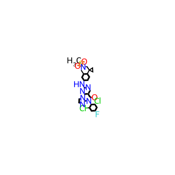 CS(=O)(=O)N1Cc2cc(Nc3ncc4c(=O)n(-c5c(Cl)cc(F)cc5Cl)c5nccn5c4n3)ccc2C2(CC2)C1